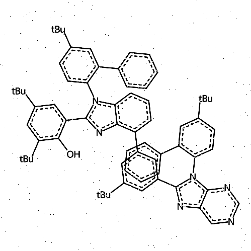 CC(C)(C)c1cc(-c2cccc3c2nc(-c2cc(C(C)(C)C)cc(C(C)(C)C)c2O)n3-c2ccc(C(C)(C)C)cc2-c2ccccc2)cc(-c2nc3cncnc3n2-c2ccc(C(C)(C)C)cc2-c2ccccc2)c1